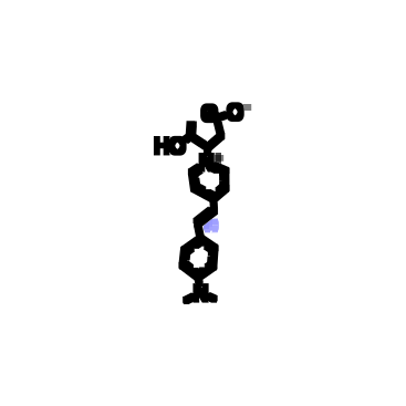 C=C(O)C(CC(=O)[O-])[n+]1ccc(/C=C/c2ccc(N(C)C)cc2)cc1